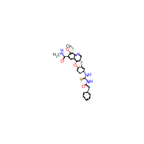 CNC(=O)c1cc2c(OC3=CCC(NC(=S)NC(=O)Cc4ccccc4)C=C3F)ccnc2cc1OC